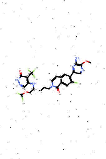 COc1ncc(-c2cc3ccn(CCC[C@H](COC(F)F)Nc4cn[nH]c(=O)c4C(F)(F)F)c(=O)c3cc2F)nc1N